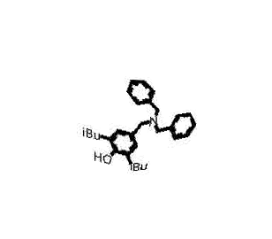 CCC(C)c1cc(CN(Cc2ccccc2)Cc2ccccc2)cc(C(C)CC)c1O